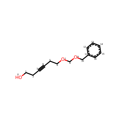 OCCC#CCCOCOCc1ccccc1